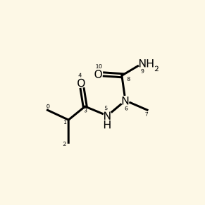 CC(C)C(=O)NN(C)C(N)=O